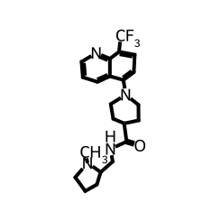 CN1CCCC1CNC(=O)C1CCN(c2ccc(C(F)(F)F)c3ncccc23)CC1